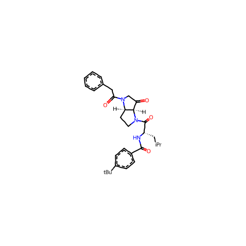 CC(C)C[C@H](NC(=O)c1ccc(C(C)(C)C)cc1)C(=O)N1CC[C@@H]2[C@H]1C(=O)CN2C(=O)Cc1ccccc1